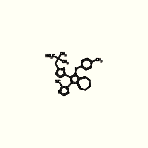 Cc1ccc(Sn2c(-c3ccc(CC(C)(C)C(=O)O)s3)c(-c3ccsc3C#N)c3c2=CCCCC=3)cc1